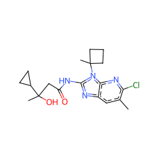 Cc1cc2nc(NC(=O)CC(C)(O)C3CC3)n(C3(C)CCC3)c2nc1Cl